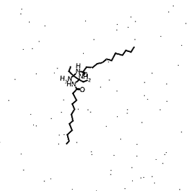 CCCCCCCCCCCC(=O)NC(N)(CC)C(N)(CC)NC(=O)CCCCCCCCCCC